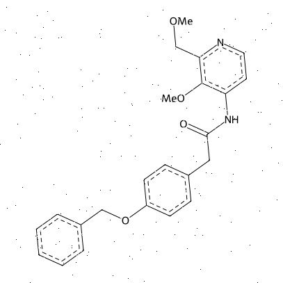 COCc1nccc(NC(=O)Cc2ccc(OCc3ccccc3)cc2)c1OC